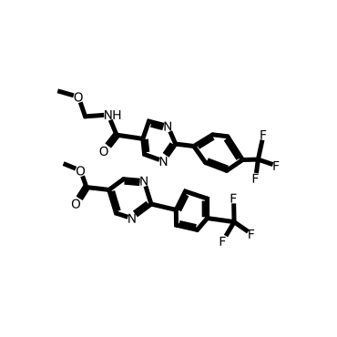 COC(=O)c1cnc(-c2ccc(C(F)(F)F)cc2)nc1.COCNC(=O)c1cnc(-c2ccc(C(F)(F)F)cc2)nc1